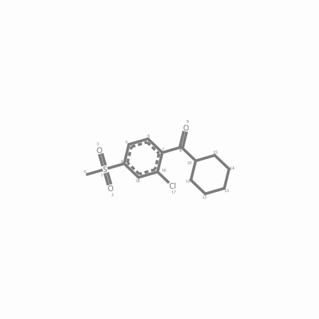 CS(=O)(=O)c1ccc(C(=O)C2CCCCC2)c(Cl)c1